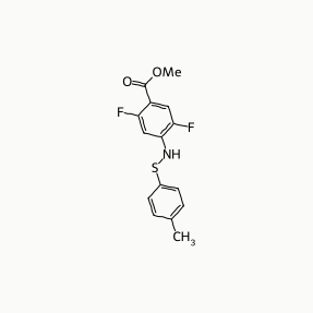 COC(=O)c1cc(F)c(NSc2ccc(C)cc2)cc1F